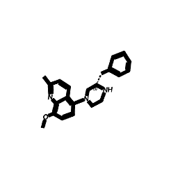 COc1ccc(N2CCN[C@@H](Cc3ccccc3)C2)c2ccc(C)nc12